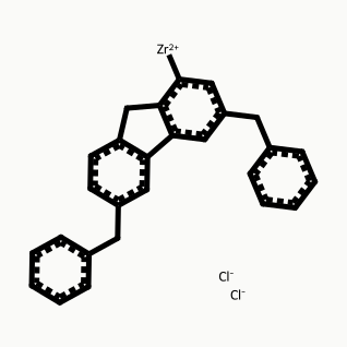 [Cl-].[Cl-].[Zr+2][c]1cc(Cc2ccccc2)cc2c1Cc1ccc(Cc3ccccc3)cc1-2